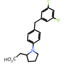 O=C(O)CC1CCCN1c1ccc(Cc2cc(F)cc(F)c2)cc1